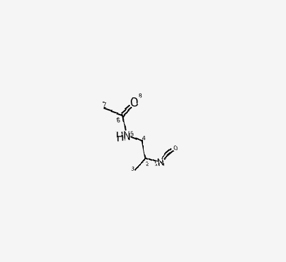 C=NC(C)CNC(C)=O